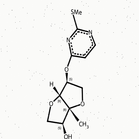 CSc1nccc(O[C@H]2CO[C@@]3(C)[C@@H]2OC[C@@H]3O)n1